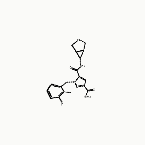 CNC(=O)c1cc(C(=O)NC2C3COCC32)n(Cc2cccc(F)c2C)n1